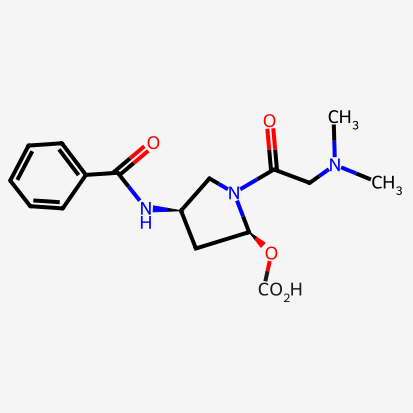 CN(C)CC(=O)N1C[C@H](NC(=O)c2ccccc2)C[C@@H]1OC(=O)O